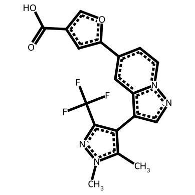 Cc1c(-c2cnn3ccc(-c4cc(C(=O)O)co4)cc23)c(C(F)(F)F)nn1C